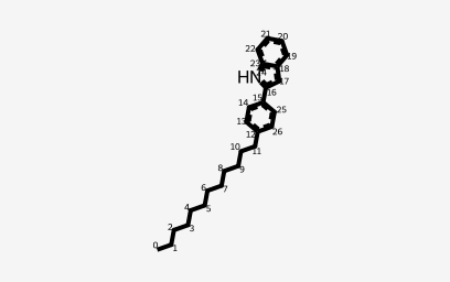 CCCCCCCCCCCCc1ccc(-c2cc3ccccc3[nH]2)cc1